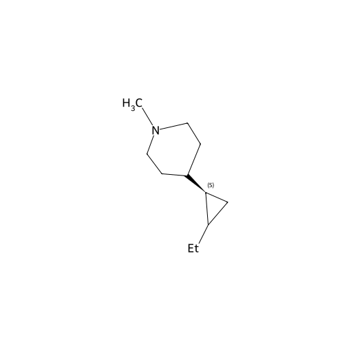 CCC1C[C@@H]1C1CCN(C)CC1